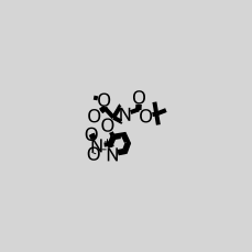 COC(=O)C1(Oc2cccnc2[N+](=O)[O-])CN(C(=O)OC(C)(C)C)C1